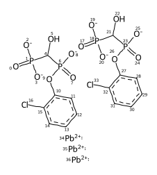 O=P([O-])([O-])C(O)P(=O)([O-])Oc1ccccc1Cl.O=P([O-])([O-])C(O)P(=O)([O-])Oc1ccccc1Cl.[Pb+2].[Pb+2].[Pb+2]